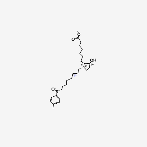 COC(=O)CCCCCC[C@@H]1[C@@H](C/C=C/CCCCC[S+]([O-])c2ccc(C)cc2)CC[C@@H]1O